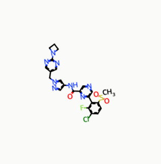 CS(=O)(=O)c1ccc(Cl)c(F)c1-c1cncc(C(=O)Nc2cnn(Cc3cnc(N4CCC4)nc3)c2)n1